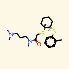 Cc1ccccc1S[C@@H]1CCCC[C@H]1SCC(=O)N(C)CCCN(C)C